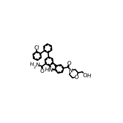 NC(=O)c1cc(-c2ccccc2-c2ccccc2Cl)cc2c1[nH]c1ccc(C(=O)N3CCOC(CO)C3)cc12